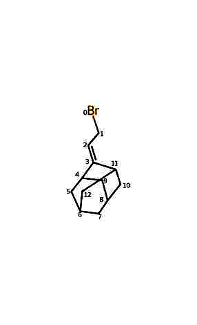 BrCC=C1C2CC3CC(C2)CC1C3